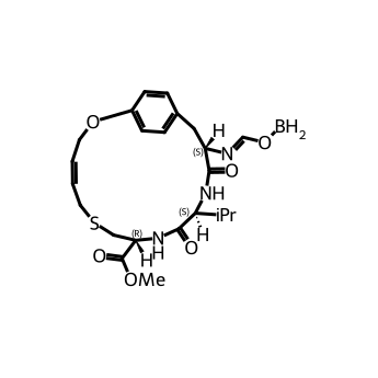 BOC=N[C@H]1Cc2ccc(cc2)OCC=CCSC[C@@H](C(=O)OC)NC(=O)[C@H](C(C)C)NC1=O